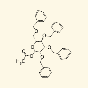 CC(=O)OC1O[C@H](COCc2ccccc2)[C@@H](OCc2ccccc2)[C@H](OCc2ccccc2)[C@@H]1OCc1ccccc1